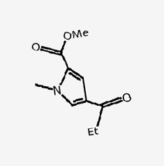 CCC(=O)c1cc(C(=O)OC)n(C)c1